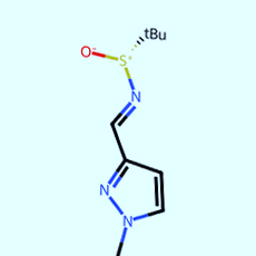 Cn1ccc(/C=N/[S@+]([O-])C(C)(C)C)n1